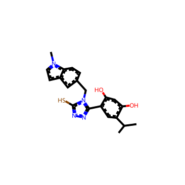 CC(C)c1cc(-c2nnc(S)n2Cc2ccc3c(ccn3C)c2)c(O)cc1O